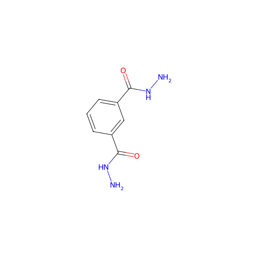 NNC(=O)c1cccc(C(=O)NN)c1